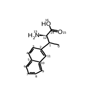 CC(c1ccc2ccccc2c1)[C@@H](N)C(=O)O